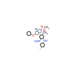 Cc1cc(Nc2ccc(F)cc2)c(C=N)cc1[C@]12CC(Oc3ccccc3)C[C@H]1CN(S(C)(=O)=O)C2